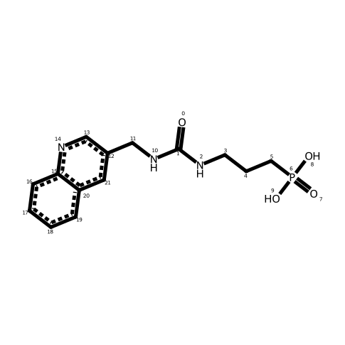 O=C(NCCCP(=O)(O)O)NCc1cnc2ccccc2c1